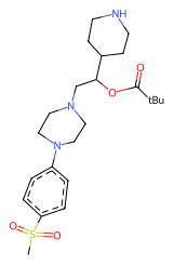 CC(C)(C)C(=O)OC(CN1CCN(c2ccc(S(C)(=O)=O)cc2)CC1)C1CCNCC1